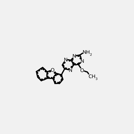 CCOc1nc(N)nc2ncc(-c3cccc4c3oc3ccccc34)nc12